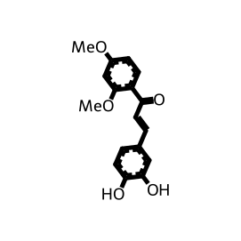 COc1ccc(C(=O)C=Cc2ccc(O)c(O)c2)c(OC)c1